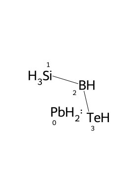 [PbH2].[SiH3]B[TeH]